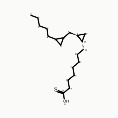 CCCCCC1CC1C[C@H]1C[C@@H]1CCCCCCCC(=O)O